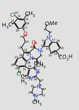 COCCn1cc(N2CC(C)n3c(c(CCCOc4cc(C)c(Cl)c(C)c4)c4ccc(Cl)c(-c5c(C)nc(CN6CCN(C)CC6)nc5C)c43)C2=O)c2cc(C(=O)O)ccc21